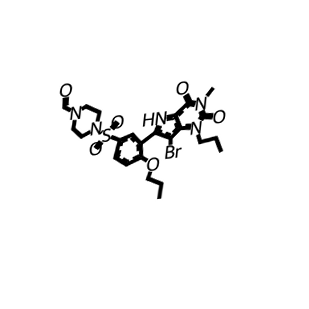 CCCOc1ccc(S(=O)(=O)N2CCN(C=O)CC2)cc1-c1[nH]c2c(=O)n(C)c(=O)n(CCC)c2c1Br